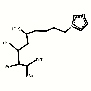 CCCCC(CCC)C(CCC)C(CCC)CC(CCCCn1ccnc1)S(=O)(=O)O